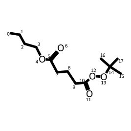 CCCCOC(=O)CCCC(=O)OOC(C)(C)C